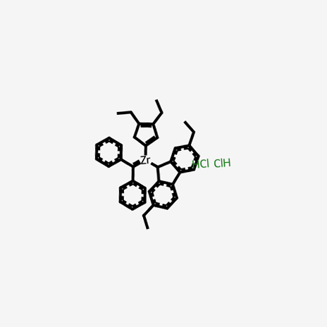 CCC1=C(CC)C[C]([Zr](=[C](c2ccccc2)c2ccccc2)[CH]2c3cc(CC)ccc3-c3ccc(CC)cc32)=C1.Cl.Cl